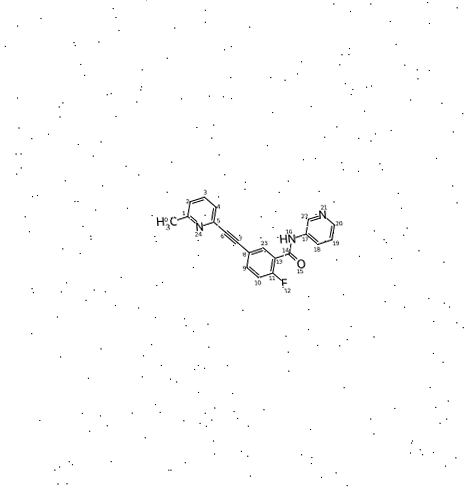 Cc1cccc(C#Cc2ccc(F)c(C(=O)Nc3cccnc3)c2)n1